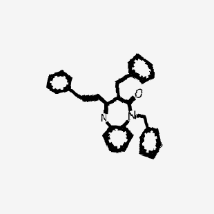 O=C1C(Cc2ccccc2)C(C=Cc2ccccc2)=Nc2ccccc2N1Cc1ccccc1